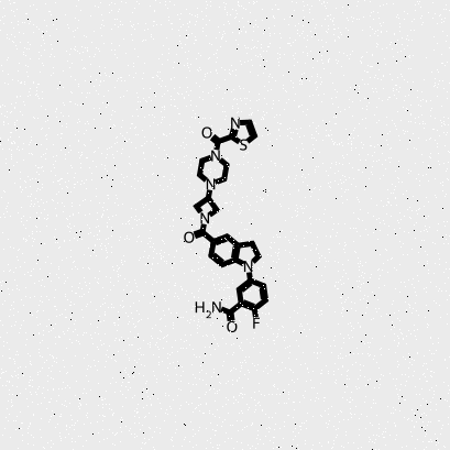 NC(=O)c1cc(N2CCc3cc(C(=O)N4CC(N5CCN(C(=O)c6nccs6)CC5)C4)ccc32)ccc1F